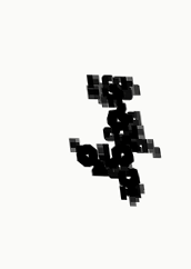 Cn1c(Nc2c(Cl)ccc(CNC(=O)C(C)(C)C)c2Cl)nc2cc(C(=O)NC3(c4ccc(F)cc4)CC3)c(N3CCC(C(F)(F)F)CC3)cc21